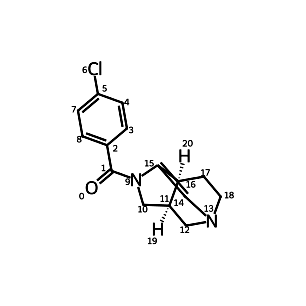 O=C(c1ccc(Cl)cc1)N1C[C@@H]2CN3C=C1[C@H]2CC3